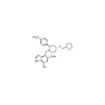 COc1cc(C)c2[nH]ccc2c1CN1CC[C@@H](OCC2CCCO2)C[C@@H]1c1ccc(C(=O)O)cc1